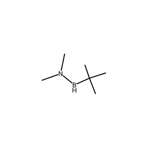 CN(C)BC(C)(C)C